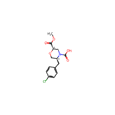 COC(=O)[C@H]1CN(C(=O)O)[C@@H](Cc2ccc(Cl)cc2)CO1